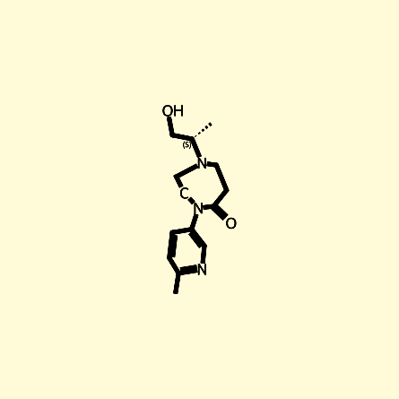 Cc1ccc(N2CCN([C@@H](C)CO)CCC2=O)cn1